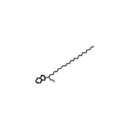 CCCCCCCCCCCCCCCCCCCCCCC(CCC)c1ccc2ccccc2c1